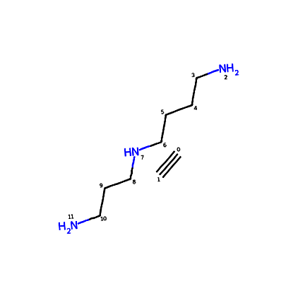 C#C.NCCCCNCCCN